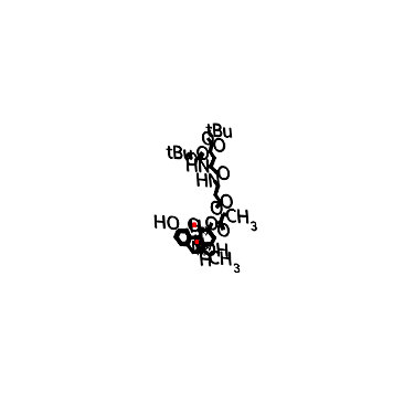 CC(OC(=O)CCNC(=O)C(CCC(=O)OC(C)(C)C)NC(=O)OC(C)(C)C)C(=O)OC1=CC[C@@]2(O)[C@H]3Cc4ccc(O)c5c4[C@@]2(CCN3C)[C@H]1O5